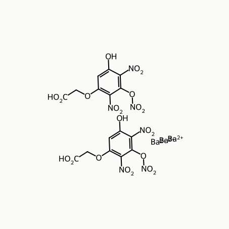 O=C(O)COc1cc(O)c([N+](=O)[O-])c(O[N+](=O)[O-])c1[N+](=O)[O-].O=C(O)COc1cc(O)c([N+](=O)[O-])c(O[N+](=O)[O-])c1[N+](=O)[O-].[Ba+2].[Ba+2].[Ba+2]